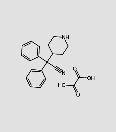 N#CC(c1ccccc1)(c1ccccc1)C1CCNCC1.O=C(O)C(=O)O